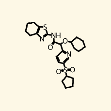 O=C(Nc1nc2c(s1)CCCC2)C(OC1CCCCC1)c1ccc(S(=O)(=O)C2CCCC2)cn1